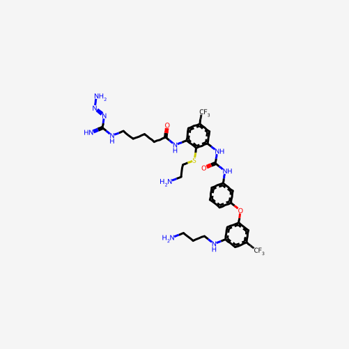 N=C(N=NN)NCCCCC(=O)Nc1cc(C(F)(F)F)cc(NC(=O)Nc2cccc(Oc3cc(NCCCN)cc(C(F)(F)F)c3)c2)c1SCCN